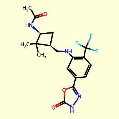 CC(=O)N[C@H]1C[C@@H](CNc2cc(-c3n[nH]c(=O)o3)ccc2C(F)(F)F)C1(C)C